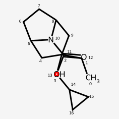 CCC1(O)CC2CCC(C1)N2C(=O)OC1CC1